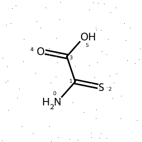 NC(=S)C(=O)O